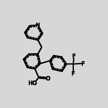 O=C(O)c1cccc(Cc2cccnc2)c1-c1ccc(C(F)(F)F)cc1